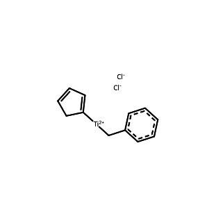 C1=CC[C]([Ti+2][CH2]c2ccccc2)=C1.[Cl-].[Cl-]